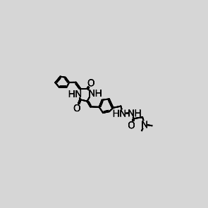 CN(C)CC(=O)NNCc1ccc(C=c2[nH]c(=O)c(=Cc3ccccc3)[nH]c2=O)cc1